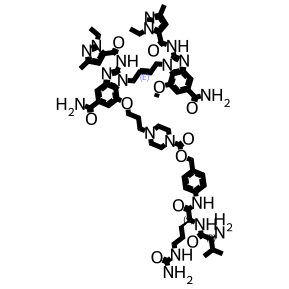 CCn1nc(C)cc1C(=O)Nc1nc2cc(C(N)=O)cc(OC)c2n1C/C=C/Cn1c(NC(=O)c2cc(C)nn2CC)nc2cc(C(N)=O)cc(OCCCN3CCN(C(=O)OCc4ccc(NC(=O)[C@H](CCCNC(N)=O)NC(=O)[C@H](N)C(C)C)cc4)CC3)c21